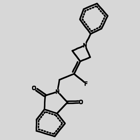 O=C1c2ccccc2C(=O)N1CC(F)=C1CN(c2ccccc2)C1